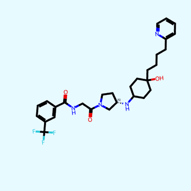 O=C(NCC(=O)N1CC[C@H](NC2CCC(O)(CCCCc3ccccn3)CC2)C1)c1cccc(C(F)(F)F)c1